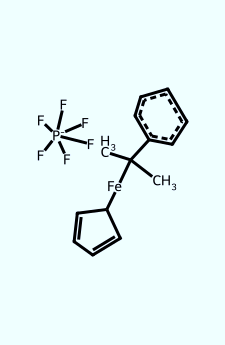 C[C](C)([Fe][CH]1C=CC=C1)c1ccccc1.F[P-](F)(F)(F)(F)F